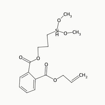 C=CCOC(=O)c1ccccc1C(=O)OCCC[SiH](OC)OC